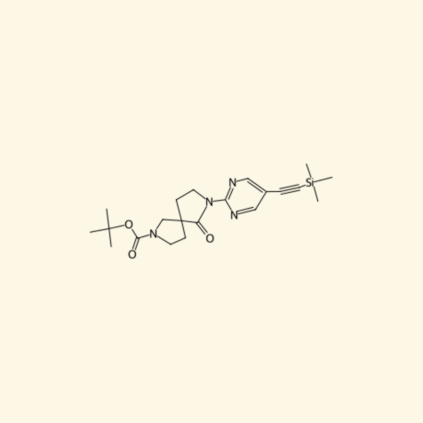 CC(C)(C)OC(=O)N1CCC2(CCN(c3ncc(C#C[Si](C)(C)C)cn3)C2=O)C1